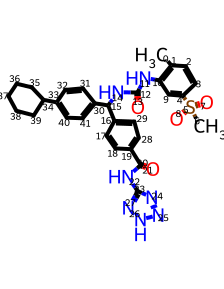 Cc1ccc(S(C)(=O)=O)cc1NC(=O)NC(c1ccc(C(=O)Nc2nn[nH]n2)cc1)c1ccc(C2CCCCC2)cc1